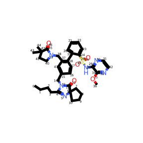 CCCCC1=NC2(CCCC2)C(=O)N1Cc1ccc(-c2ccccc2S(=O)(=O)Nc2nccnc2OC)c(CN2CCC(C)(C)C2=O)c1